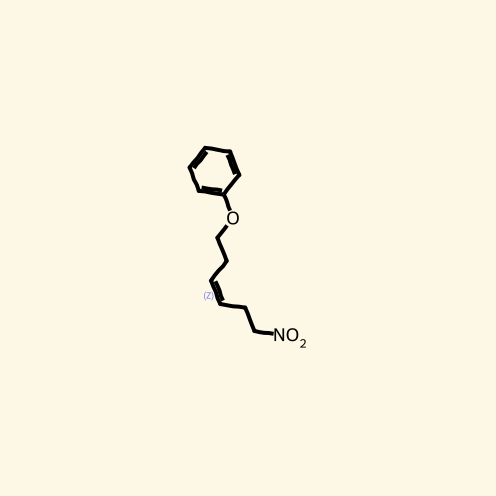 O=[N+]([O-])CC/C=C\CCOc1ccccc1